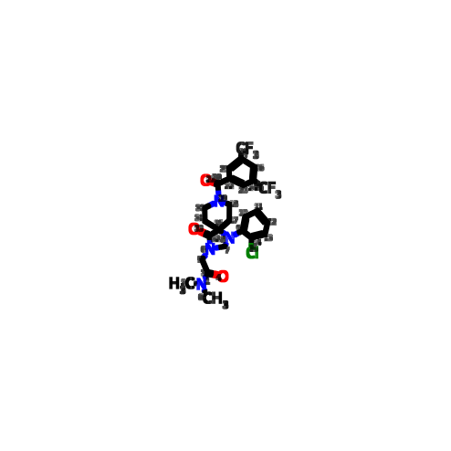 CN(C)C(=O)CN1CN(c2ccccc2Cl)C2(CCN(C(=O)c3cc(C(F)(F)F)cc(C(F)(F)F)c3)CC2)C1=O